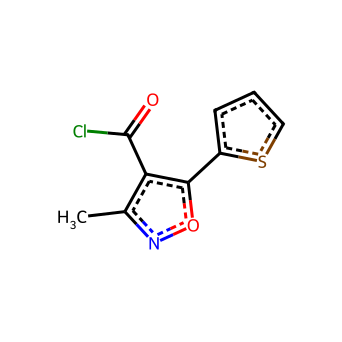 Cc1noc(-c2cccs2)c1C(=O)Cl